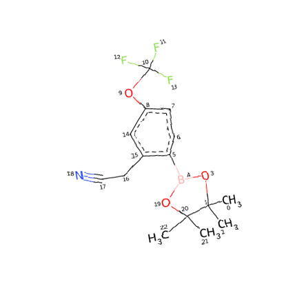 CC1(C)OB(c2ccc(OC(F)(F)F)cc2CC#N)OC1(C)C